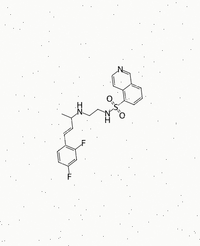 CC(C=Cc1ccc(F)cc1F)NCCNS(=O)(=O)c1cccc2cnccc12